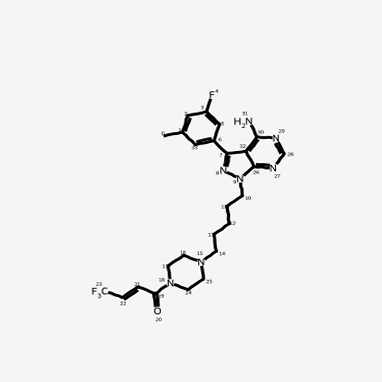 Cc1cc(F)cc(-c2nn(CCCCCN3CCN(C(=O)/C=C/C(F)(F)F)CC3)c3ncnc(N)c23)c1